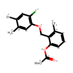 CCc1cc(F)c(OCc2c(OC(=O)OC)cccc2C(F)(F)F)cc1C